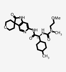 COCCN(C)C(=O)N[C@H](C(=O)Nc1cc2c(cn1)C1(CCOCC1)C(=O)N2)C1CCC(C)CC1